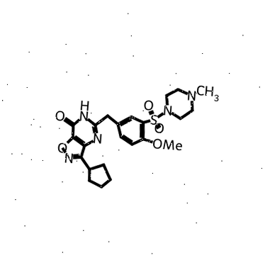 COc1ccc(Cc2nc3c(C4CCCC4)noc3c(=O)[nH]2)cc1S(=O)(=O)N1CCN(C)CC1